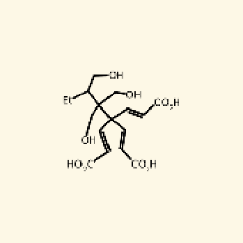 CCC(CO)C(CO)(CO)C(C=CC(=O)O)(C=CC(=O)O)C=CC(=O)O